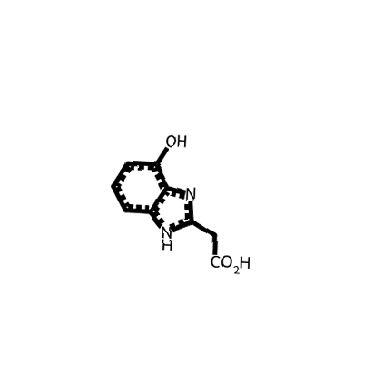 O=C(O)Cc1nc2c(O)cccc2[nH]1